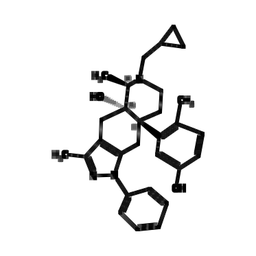 Cc1ccc(O)cc1[C@]12CCN(CC3CC3)[C@H](C)[C@]1(O)Cc1c(C)nn(-c3ccccc3)c1C2